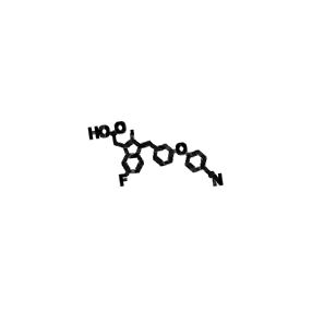 CC1=C(CC(=O)O)c2cc(F)ccc2/C1=C\c1cccc(Oc2ccc(C#N)cc2)c1